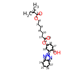 C=C(C)C(=O)OCCCCCCC(=O)Oc1ccc(O)c(-n2nc3ccccc3n2)c1